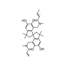 C=CCN(C)Cc1c(O)c(O)cc2c1C1(CC2(C)C)CC(C)(C)c2cc(O)c(O)c(CN(C)C/C=C/C)c21